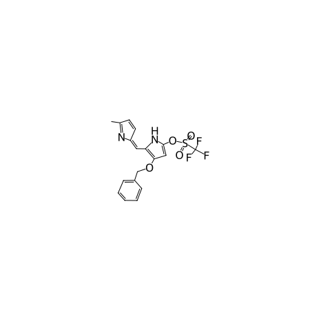 CC1=NC(=Cc2[nH]c(OS(=O)(=O)C(F)(F)F)cc2OCc2ccccc2)C=C1